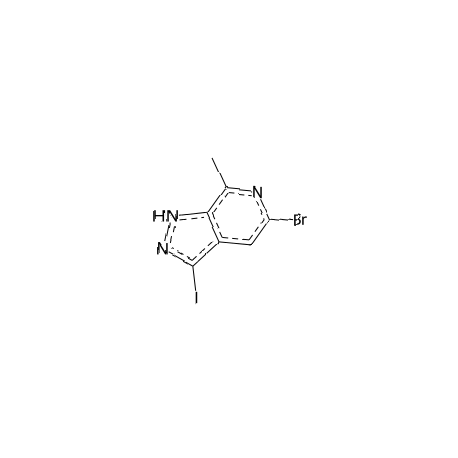 Cc1nc(Br)cc2c(I)n[nH]c12